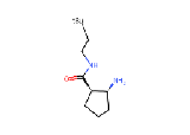 CC(C)(C)CCNC(=O)[C@@H]1CCC[C@@H]1N